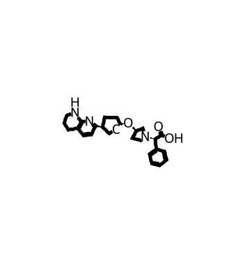 O=C(O)[C@H](c1ccccc1)N1CC[C@@H](O[C@H]2CC[C@H](c3ccc4c(n3)NCCC4)CC2)C1